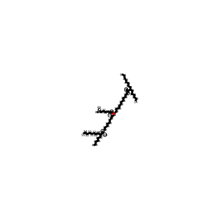 CCCCCCCCC(CCCCCC)C(=O)OCCCCCCCCCCC(CCCCCCCCCOC(=O)C(CCCCCC)CCCCCCCC)OC(=O)CCCCN(C)C